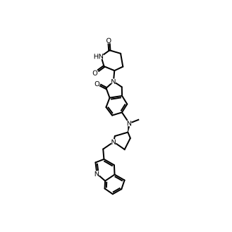 CN(c1ccc2c(c1)CN(C1CCC(=O)NC1=O)C2=O)[C@H]1CCN(Cc2cnc3ccccc3c2)C1